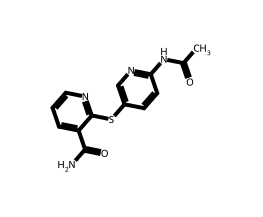 CC(=O)Nc1ccc(Sc2ncccc2C(N)=O)cn1